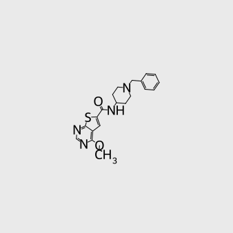 COc1ncnc2sc(C(=O)NC3CCN(Cc4ccccc4)CC3)cc12